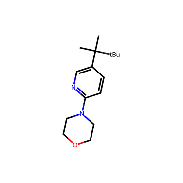 CC(C)(C)C(C)(C)c1ccc(N2CCOCC2)nc1